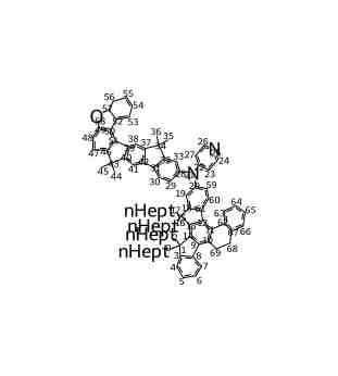 CCCCCCCC1(CCCCCCC)c2ccccc2-c2c3c(c4c(c21)C(CCCCCCC)(CCCCCCC)c1cc(N(c2ccncc2)c2ccc5c(c2)C(C)(C)c2cc6c(cc2-5)C(C)(C)c2ccc5c(c2-6)C2=CC=CCC2O5)ccc1-4)-c1ccccc1CC3